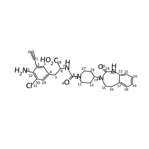 C#Cc1cc(CC(NC(=O)N2CCC(N3CCc4ccccc4NC3=O)CC2)C(=O)O)cc(Cl)c1N